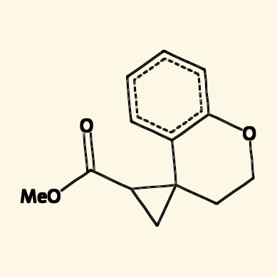 COC(=O)C1CC12CCOc1ccccc12